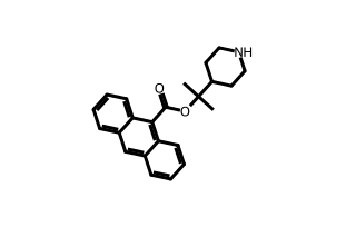 CC(C)(OC(=O)c1c2ccccc2cc2ccccc12)C1CCNCC1